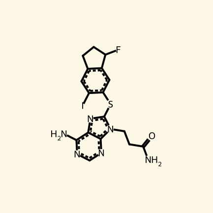 NC(=O)CCn1c(Sc2cc3c(cc2I)CCC3F)nc2c(N)ncnc21